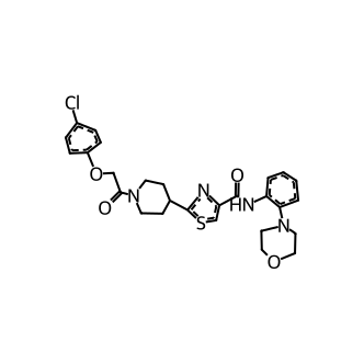 O=C(Nc1ccccc1N1CCOCC1)c1csc(C2CCN(C(=O)COc3ccc(Cl)cc3)CC2)n1